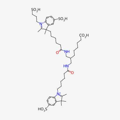 CC1=[N+](CCCCCC(=O)NCC(CCCCCC(=O)O)CNC(=O)CCCCCC2(C)C(C)=[N+](CCCS(=O)(=O)O)c3ccc(S(=O)(=O)O)cc32)c2ccc(S(=O)(=O)O)cc2C1(C)C